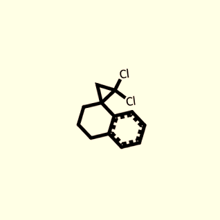 ClC1(Cl)CC12CCCc1ccccc12